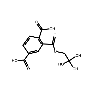 O=C(O)c1ccc(C(=O)O)c(C(=O)OCC(O)(O)O)c1